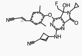 Cc1cc(/C=C/C#N)cc(C)c1Oc1nc(NC23CC(C#N)(C2)C3)nc2c1C(O)(CF)N(C1CC1)C2=O